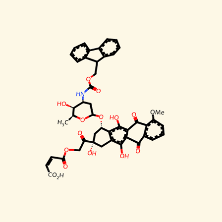 COc1cccc2c1C(=O)c1c(O)c3c(c(O)c1C2=O)C[C@@](O)(C(=O)COC(=O)/C=C\C(=O)O)C[C@@H]3OC1C[C@H](NC(=O)OCC2c3ccccc3-c3ccccc32)[C@H](O)[C@H](C)O1